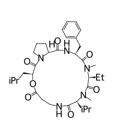 CC[C@H]1C(=O)N(C)[C@@H](C(C)C)C(=O)NCCC(=O)O[C@@H](CC(C)C)C(=O)N2CCC[C@H]2C(=O)N[C@@H](Cc2ccccc2)C(=O)N1C